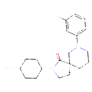 O=C1N([C@H]2CC[C@@H](O)CC2)CC[C@@]12CCCN(c1cccc(F)c1)C2